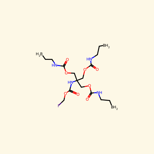 BCCNC(=O)OCC(COC(=O)NCCB)(COC(=O)NCCB)NC(=O)OCI